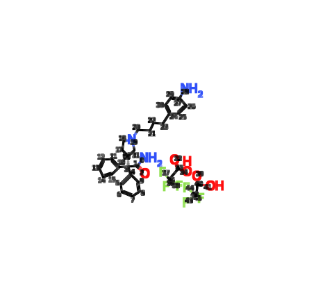 NC(=O)C(c1ccccc1)(c1ccccc1)[C@@H]1CCN(CCCCc2ccc(N)cc2)C1.O=C(O)C(F)(F)F.O=C(O)C(F)(F)F